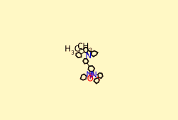 CC1(C)c2ccccc2-c2c1ccc1c3ccccc3n(-c3cccc(-c4ccc5c(c4)N(c4ccccc4)P(=O)(c4ccccc4)N5c4ccccc4)c3)c21